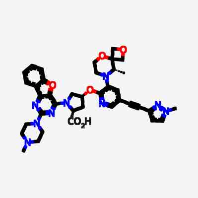 C[C@@H]1N(c2cc(C#Cc3ccn(C)n3)cnc2O[C@H]2C[C@@H](C(=O)O)N(c3nc(N4CCN(C)CC4)nc4c3oc3ccccc34)C2)CCOC12COC2